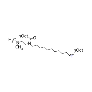 CCCCCCCC/C=C\CCCCCCCCCCN(CCN(C)C)C(=O)CCCCCCCC